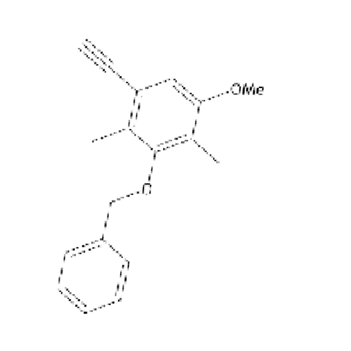 C#Cc1cc(OC)c(C)c(OCc2ccccc2)c1C